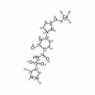 Cc1nn(C)cc1S(=O)(=O)NC(=O)c1ccc(-n2ccc(O[CH2][Ge]([CH3])([CH3])[CH3])n2)nc1Cl